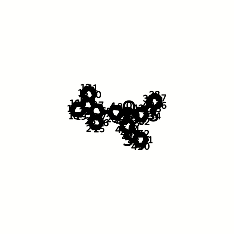 O=P(c1ccc(-c2cc3c4ccccc4c4ccccc4c3c3ccccc23)cc1)(c1ccc2sc3ccccc3c2c1)c1ccc2sc3ccccc3c2c1